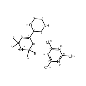 CC1(C)C=C(C2CNCCO2)CC(C)(C)N1.Clc1nc(Cl)nc(Cl)n1